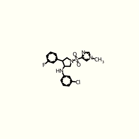 Cn1cnc(S(=O)(=O)N2CC(Nc3cccc(Cl)c3)C(c3cccc(F)c3)C2)c1